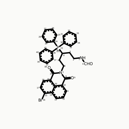 O=CNCCC(CCN1C(=O)c2cccc3c(Br)ccc(c23)C1=O)[PH](c1ccccc1)(c1ccccc1)c1ccccc1